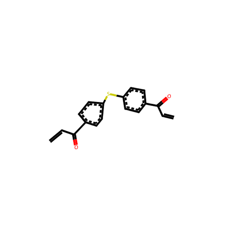 C=CC(=O)c1ccc(Sc2ccc(C(=O)C=C)cc2)cc1